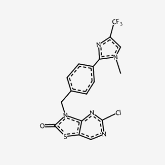 Cn1cc(C(F)(F)F)nc1-c1ccc(Cn2c(=O)sc3cnc(Cl)nc32)cc1